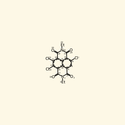 CCN1C(=O)c2cc(Cl)c3c4c(c(Cl)c(Cl)c(c24)C1=O)C(=O)N(CC)C3=O